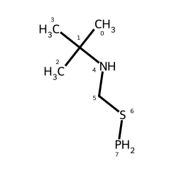 CC(C)(C)NCSP